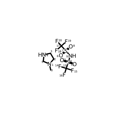 CN1CCNC1.O=S(=O)(NS(=O)(=O)C(F)(F)F)C(F)(F)F